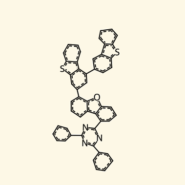 c1ccc(-c2nc(-c3ccccc3)nc(-c3cccc4oc5c(-c6cc(-c7ccc8sc9ccccc9c8c7)c7c(c6)sc6ccccc67)cccc5c34)n2)cc1